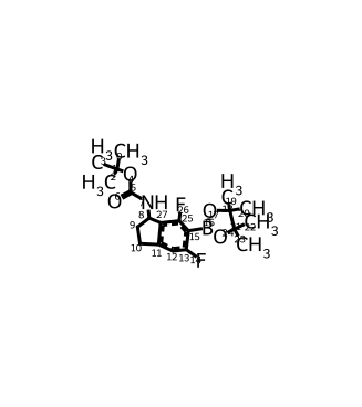 CC(C)(C)OC(=O)NC1CCc2cc(F)c(B3OC(C)(C)C(C)(C)O3)c(F)c21